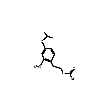 COc1cc(OC(F)F)ccc1CCOC(N)=O